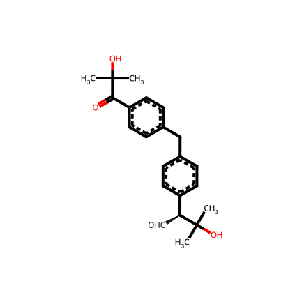 CC(C)(O)C(=O)c1ccc(Cc2ccc([C@H](C=O)C(C)(C)O)cc2)cc1